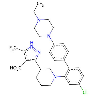 O=C(O)c1c(C2CCCN(c3cc(Cl)ccc3-c3ccc(N4CCN(CC(F)(F)F)CC4)cc3)C2)n[nH]c1C(F)(F)F